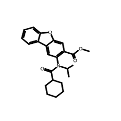 COC(=O)c1cc2oc3ccccc3c2cc1N(C(=O)C1CCCCC1)C(C)C